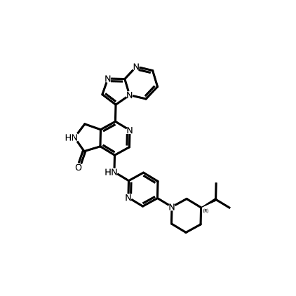 CC(C)[C@H]1CCCN(c2ccc(Nc3cnc(-c4cnc5ncccn45)c4c3C(=O)NC4)nc2)C1